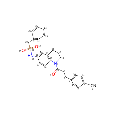 N#Cc1ccc(CCC(=O)N2CCCc3cc(NS(=O)(=O)Cc4ccccc4)ccc32)cc1